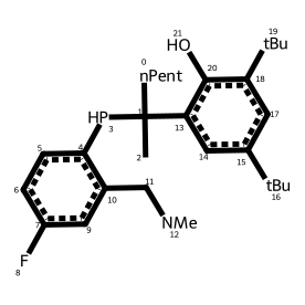 CCCCCC(C)(Pc1ccc(F)cc1CNC)c1cc(C(C)(C)C)cc(C(C)(C)C)c1O